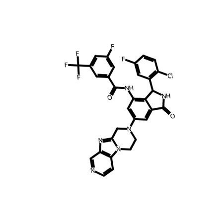 O=C(Nc1cc(N2CCn3c(nc4cnccc43)C2)cc2c1C(c1cc(F)ccc1Cl)NC2=O)c1cc(F)cc(C(F)(F)F)c1